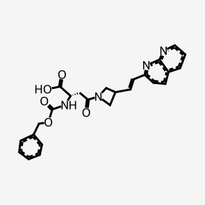 O=C(N[C@@H](CC(=O)N1CC(/C=C/c2ccc3cccnc3n2)C1)C(=O)O)OCc1ccccc1